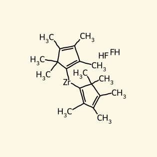 CC1=C(C)C(C)(C)[C]([Zr][C]2=C(C)C(C)=C(C)C2(C)C)=C1C.F.F